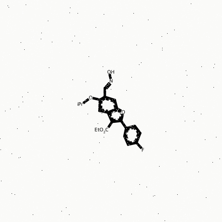 CCOC(=O)c1c(-c2ccc(F)cc2)oc2cc(C=NO)c(OC(C)C)cc12